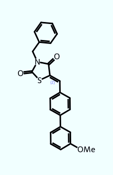 COc1cccc(-c2ccc(/C=C3\SC(=O)N(Cc4ccccc4)C3=O)cc2)c1